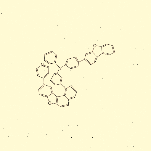 c1ccc(N(c2ccc(-c3ccc4c(c3)oc3ccccc34)cc2)c2cccc(-c3cccc4ccc5oc6ccc(-c7ccncc7)cc6c5c34)c2)cc1